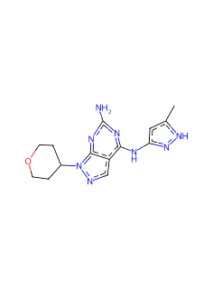 Cc1cc(Nc2nc(N)nc3c2cnn3C2CCOCC2)n[nH]1